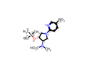 CN(C(=O)O)[C@@H]1CN(c2ccc([N+](=O)[O-])cn2)C[C@H]1O[Si](C)(C)C(C)(C)C